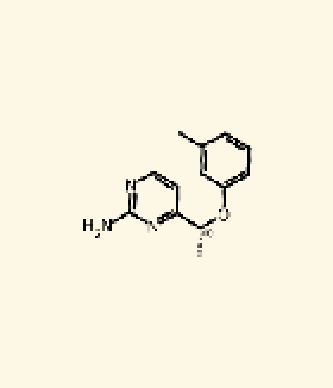 Cc1cccc(O[C@H](C)c2ccnc(N)n2)c1